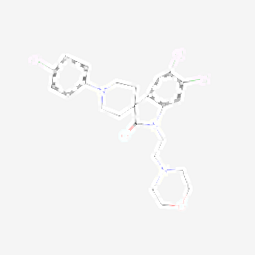 O=C1N(CCN2CCOCC2)c2cc(Cl)c(Cl)cc2C12CCN(c1ccc(Cl)cc1)CC2